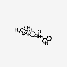 CC(C)S(=O)(=O)NC1CCC(C(=O)NCc2ccnc3ccccc23)CC1